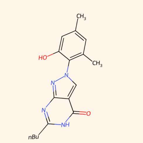 CCCCc1nc2nn(-c3c(C)cc(C)cc3O)cc2c(=O)[nH]1